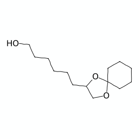 OCCCCCCC1COC2(CCCCC2)O1